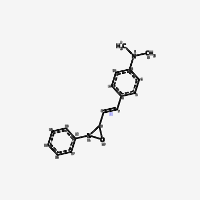 CN(C)c1ccc(/C=C/C2ON2c2ccccc2)cc1